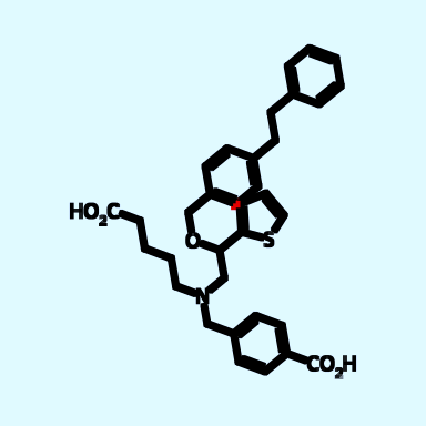 O=C(O)CCCCN(Cc1ccc(C(=O)O)cc1)CC(OCc1ccc(CCc2ccccc2)cc1)c1cccs1